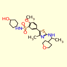 COc1ccc(-c2sc(NC(C)C3CCOCC3)nc2C)cc1S(=O)(=O)N[C@H]1CC[C@H](O)CC1